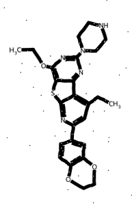 CCOc1nc(N2CCNCC2)nc2c1sc1nc(-c3ccc4c(c3)OCCO4)cc(CC)c12